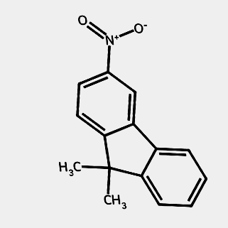 CC1(C)c2ccccc2-c2cc([N+](=O)[O-])ccc21